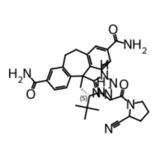 CC(C)(C)[C@H](CC1(c2nnn[nH]2)c2ccc(C(N)=O)cc2CCc2cc(C(N)=O)ccc21)NCC(=O)N1CCCC1C#N